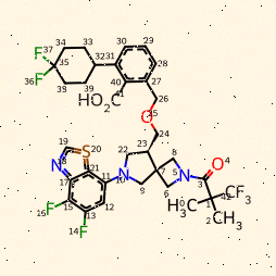 CC(C)(C(=O)N1CC2(C1)CN(c1cc(F)c(F)c3ncsc13)C[C@H]2COCc1cccc(C2CCC(F)(F)CC2)c1C(=O)O)C(F)(F)F